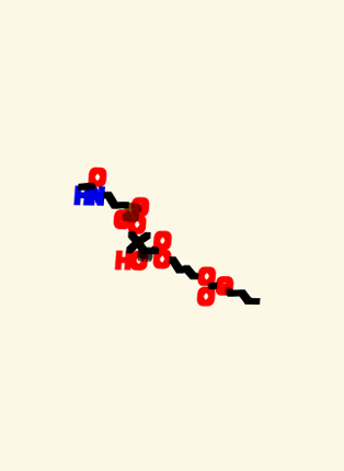 CCCCOC(=O)OCCCCOC(=O)[C@H](O)C(C)(C)COS(=O)(=O)CCCNC(C)=O